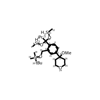 COC1(c2ccc(C(O[SiH2]C)(O[SiH2]C)C(C)C)c(CO[Si](C)(C)C(C)(C)C)c2)CCOCC1